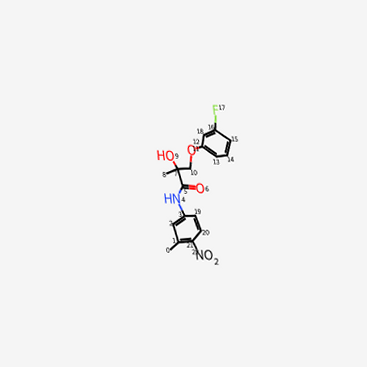 Cc1cc(NC(=O)C(C)(O)COc2cccc(F)c2)ccc1[N+](=O)[O-]